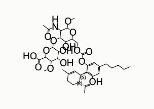 C=C(C)[C@@H]1CCC(C)=C[C@H]1c1c(O)cc(CCCCC)cc1OC(=O)OCC1OC(OC)C(NC(C)=O)C(OC2OC(C(=O)O)C(OC)C(O)C2O)C1O